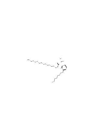 C=C(OC(C)OS(=O)(=O)O)C(CCCCCCCCCCCCCCC)Oc1ccccc1CCCCCCCC